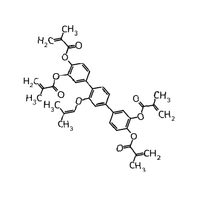 C=C(C)C(=O)Oc1ccc(-c2ccc(-c3ccc(OC(=O)C(=C)C)c(OC(=O)C(=C)C)c3)c(OC=C(C)C)c2)cc1OC(=O)C(=C)C